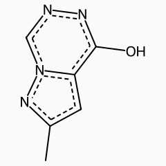 Cc1cc2c(O)nncn2n1